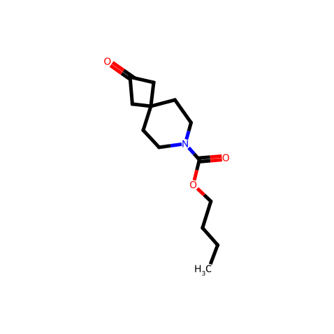 CCCCOC(=O)N1CCC2(CC1)CC(=O)C2